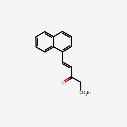 CCOC(=O)CC(=O)C=Cc1cccc2ccccc12